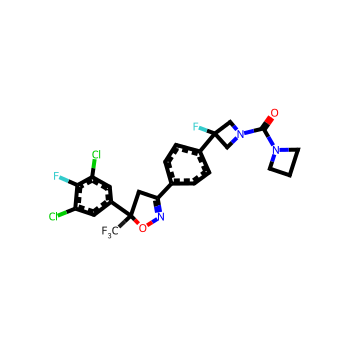 O=C(N1CCC1)N1CC(F)(c2ccc(C3=NOC(c4cc(Cl)c(F)c(Cl)c4)(C(F)(F)F)C3)cc2)C1